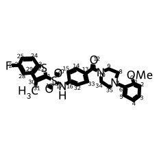 COc1ccccc1N1CCN(C(=O)c2ccc(NS(=O)(=O)c3sc4ccc(F)cc4c3C)cc2)CC1